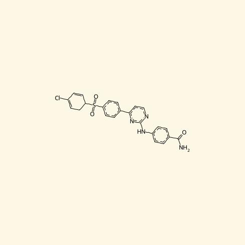 NC(=O)c1ccc(Nc2nccc(-c3ccc(S(=O)(=O)C4C=CC(Cl)=CC4)cc3)n2)cc1